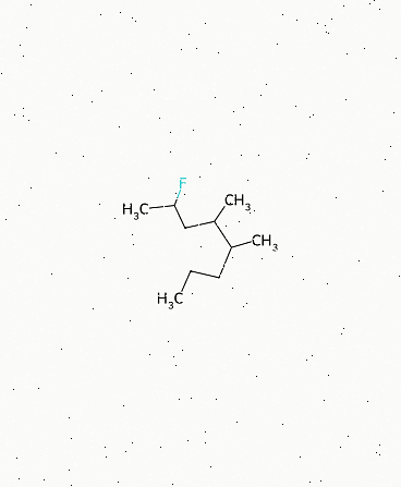 CCCC(C)C(C)CC(C)F